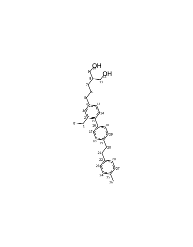 CCc1cc(CCCC(CO)CO)ccc1-c1ccc(CCc2ccc(C)cc2)cc1